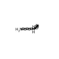 Cc1cc(NCCOCCOCCOCCOCCOCCN)ccc1C(=O)Nc1nc(C)c(C)s1